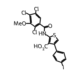 COc1c(Cl)c(Cl)cc(C(=O)Nc2scc(-c3ccc(I)cc3)c2C(=O)O)c1Cl